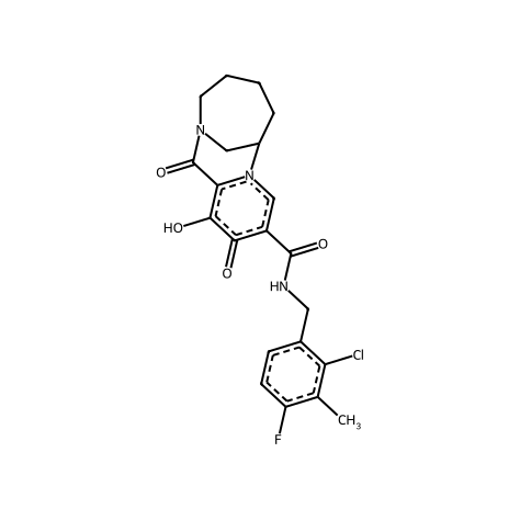 Cc1c(F)ccc(CNC(=O)c2cn3c(c(O)c2=O)C(=O)N2CCCCC3C2)c1Cl